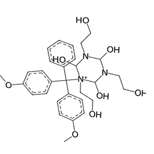 COc1ccc(C(c2ccccc2)(c2ccc(OC)cc2)[N+]2(CCO)C(O)N(CCO)C(O)N(CCO)C2O)cc1